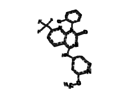 COc1cc(Nc2nc(=O)n(-c3ccccc3Cl)c3nc(C(F)(F)F)ccc23)ccn1